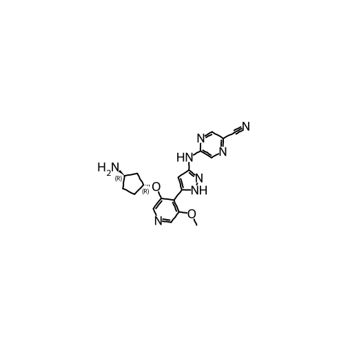 COc1cncc(O[C@@H]2CC[C@@H](N)C2)c1-c1cc(Nc2cnc(C#N)cn2)n[nH]1